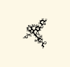 C=CC(=O)N1C[C@@H]2C(C#Cc3c(-c4ccc(Oc5cccc(C)n5)cc4OC)c4c(N)ncnc4n3CCOC)[C@@H]2C1